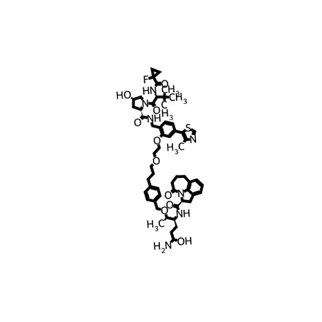 Cc1ncsc1-c1ccc(CNC(=O)[C@@H]2C[C@@H](O)CN2C(=O)[C@@H](NC(=O)C2(F)CC2)C(C)(C)C)c(OCCOCCCc2ccc(CO[C@H](C)[C@H](CCC(N)O)NC(=O)[C@@H]3Cc4cccc5c4N3C(=O)CCC5)cc2)c1